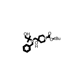 CC(C)(C)OC(=O)N1CCC(O)(CN(Cc2ccccc2)C(C)(C)CO)CC1